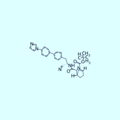 CC(C)(C)OC(=O)N1[C@@H]2CC[C@@H](C2)[C@H]1C(=O)N[C@H](C#N)Cc1ccc(-c2ccc(-n3ccnc3)cc2)cc1